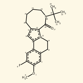 COc1cc2c(cc1F)-c1cc3c(n1CC2)C(=O)N(C(C)(C)C)CCCC3